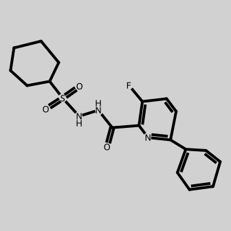 O=C(NNS(=O)(=O)C1CCCCC1)c1nc(-c2ccccc2)ccc1F